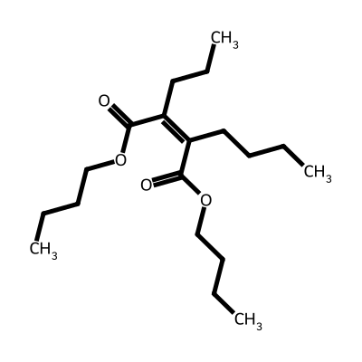 CCCCOC(=O)C(CCC)=C(CCCC)C(=O)OCCCC